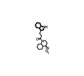 CO/N=C1/CCN(C(=O)CCc2c[nH]c3ccccc23)C2CCCCC12